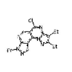 CCc1nn2c(nc(Cl)c3cnc4c(cnn4C(C)C)c32)c1CC